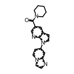 O=C(c1cnc2c(ccn2-c2ccn3ccnc3c2)c1)N1CCCCC1